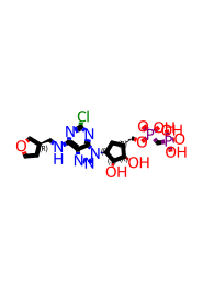 O=P(O)(O)CP(=O)(O)OC[C@H]1C[C@@H](n2nnc3c(NC[C@H]4CCOC4)nc(Cl)nc32)[C@H](O)[C@@H]1O